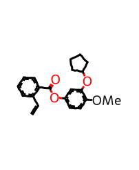 C=Cc1ccccc1C(=O)Oc1ccc(OC)c(OC2CCCC2)c1